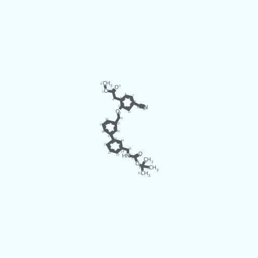 COC(=O)Cc1ccc(C#N)cc1OCc1cccc(-c2cccc(CNC(=O)OC(C)(C)C)c2)c1